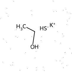 CCO.[K+].[SH-]